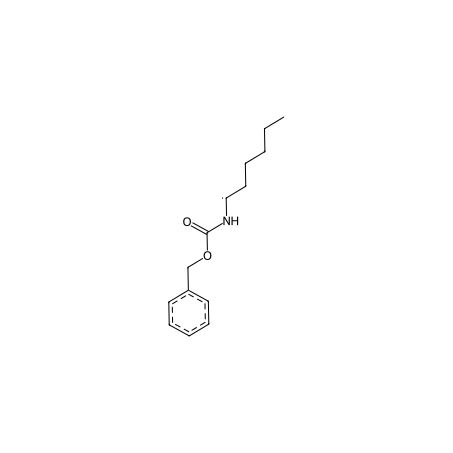 CCCCC[CH]NC(=O)OCc1ccccc1